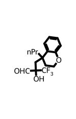 CCCC1(CC(O)(C=O)C(F)(F)F)CCOc2ccccc21